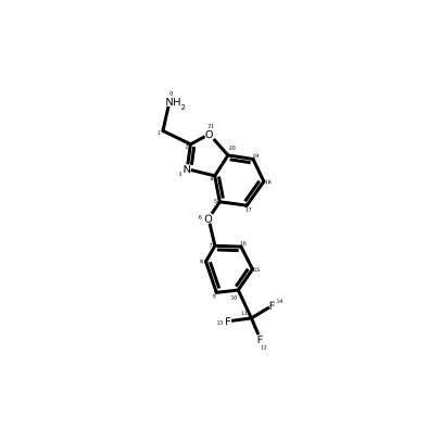 NCc1nc2c(Oc3ccc(C(F)(F)F)cc3)cccc2o1